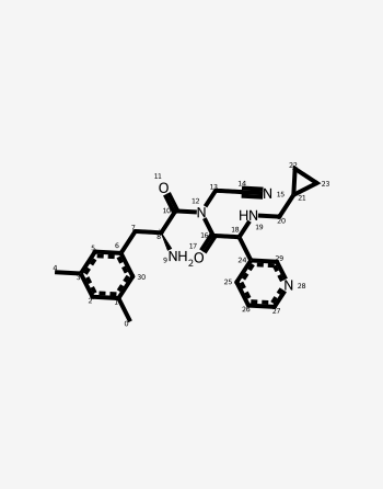 Cc1cc(C)cc(C[C@H](N)C(=O)N(CC#N)C(=O)C(NCC2CC2)c2cccnc2)c1